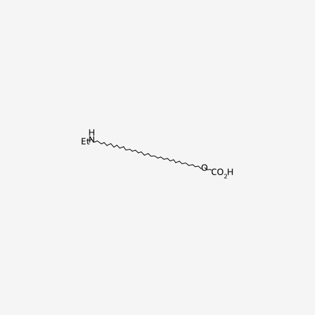 CCNCCCCCCCCCCCCCCCCCCCCCCCCCCCCCCCCCCCOCCC(=O)O